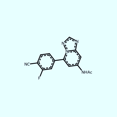 CC(=O)Nc1cc(-c2ccc(C#N)c(F)c2)n2ncnc2c1